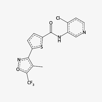 Cc1c(-c2ccc(C(=O)Nc3cnccc3Cl)s2)noc1C(F)(F)F